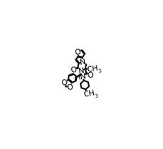 CC1CCC(NC(=O)C2(C)Cn3c(cc4occc43)C(=O)N2Cc2ccc3c(c2)OCO3)CC1